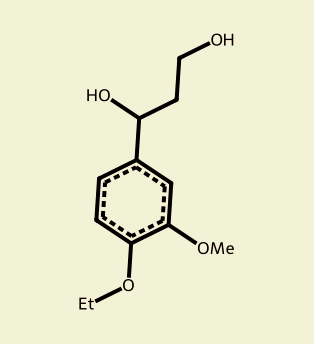 CCOc1ccc(C(O)CCO)cc1OC